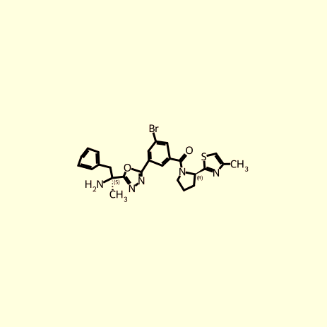 Cc1csc([C@H]2CCCN2C(=O)c2cc(Br)cc(-c3nnc([C@@](C)(N)Cc4ccccc4)o3)c2)n1